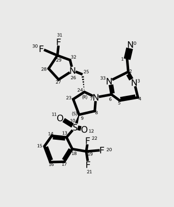 N#Cc1nccc(N2C[C@@H](S(=O)(=O)c3ccccc3C(F)(F)F)C[C@@H]2CN2CCC(F)(F)C2)n1